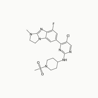 CN1CCn2c1nc1c(F)cc(-c3nc(NC4CCN(S(C)(=O)=O)CC4)ncc3Cl)cc12